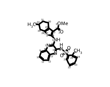 COC(=O)c1c(Nc2nc3ccccc3nc2NS(=O)(=O)c2ccccc2C)sc2c1CCC(C)C2